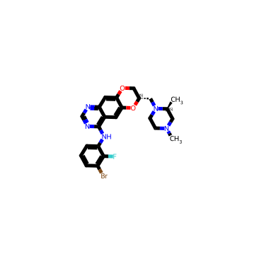 C[C@H]1CN(C)CCN1C[C@H]1COc2cc3ncnc(Nc4cccc(Br)c4F)c3cc2O1